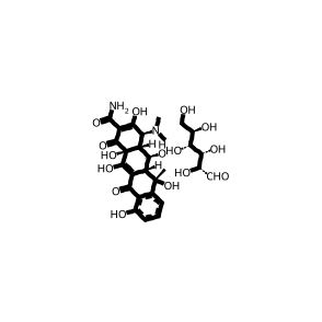 CN(C)[C@@H]1C(O)=C(C(N)=O)C(=O)[C@@]2(O)C(O)=C3C(=O)c4c(O)cccc4[C@@](C)(O)[C@H]3[C@H](O)[C@@H]12.O=C[C@H](O)[C@@H](O)[C@H](O)[C@H](O)CO